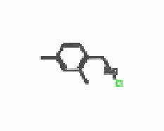 Cc1ccc([CH2][Mg][Cl])c(C)c1